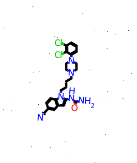 N#Cc1ccc2c(c1)cc(NC(N)=O)n2CCCCN1CCN(c2cccc(Cl)c2Cl)CC1